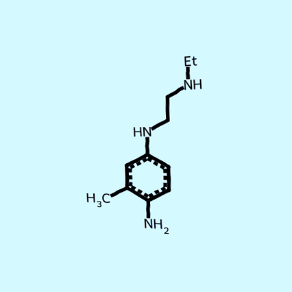 CCNCCNc1ccc(N)c(C)c1